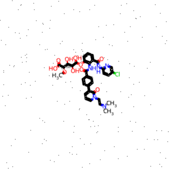 CO[C@H](C(=O)O)[C@@H](O)[C@H](O)C(O)Oc1cccc(C(=O)Nc2ccc(Cl)cn2)c1NC(=O)c1ccc(-c2cccn(CCN(C)C)c2=O)cc1